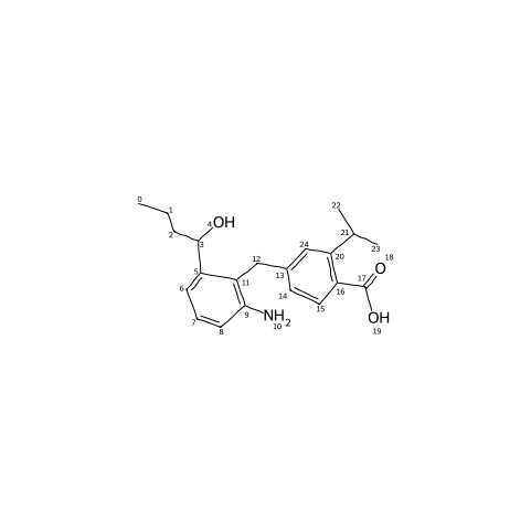 CCCC(O)c1cccc(N)c1Cc1ccc(C(=O)O)c(C(C)C)c1